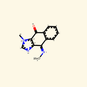 CON=C1c2ccccc2C(=O)c2c1ncn2C